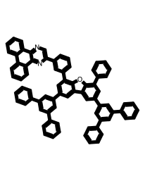 c1ccc(-c2cc(-c3ccccc3)cc(-c3cc(-c4ccccc4)c4oc5c(-c6cccc(-c7cnc8c9ccccc9c9ccccc9c8n7)c6)cc(-c6cc(-c7ccccc7)cc(-c7ccccc7)c6)cc5c4c3)c2)cc1